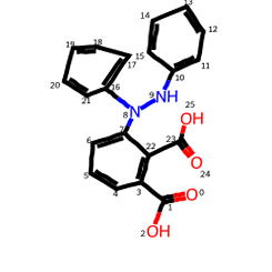 O=C(O)c1cccc(N(Nc2ccccc2)c2ccccc2)c1C(=O)O